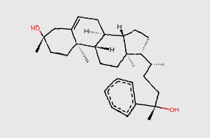 C[C@H](CC[C@](C)(O)c1ccccc1)[C@H]1CC[C@H]2[C@@H]3CC=C4C[C@@](C)(O)CC[C@]4(C)[C@H]3CC[C@]12C